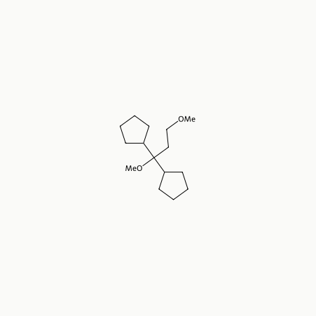 COCCC(OC)(C1CCCC1)C1CCCC1